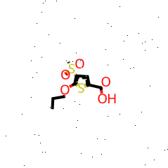 CCCOc1sc(C(=O)O)cc1S(C)(=O)=O